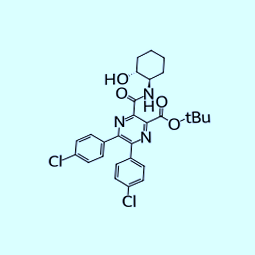 CC(C)(C)OC(=O)c1nc(-c2ccc(Cl)cc2)c(-c2ccc(Cl)cc2)nc1C(=O)N[C@@H]1CCCC[C@H]1O